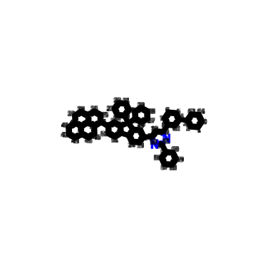 c1ccc(-c2cccc(-c3cc(-c4ccc5c(c4)C(c4ccccc4)(c4ccccc4)c4cc(-c6ccc7ccc8cccc9ccc6c7c89)ccc4-5)nc(-c4ccccc4)n3)c2)cc1